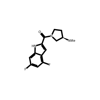 CN[C@@H]1CCN(C(=O)c2cc3c(F)cc(F)cc3[nH]2)C1